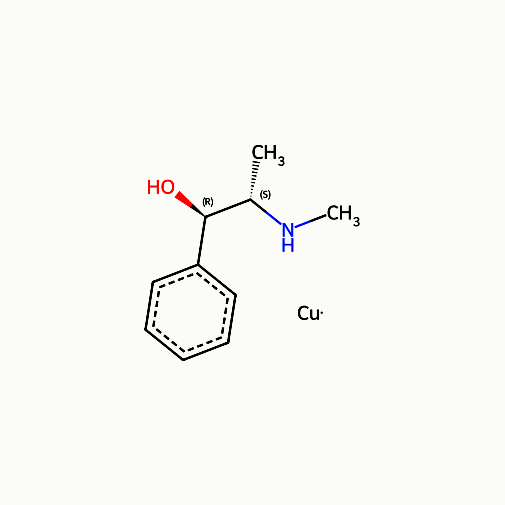 CN[C@@H](C)[C@H](O)c1ccccc1.[Cu]